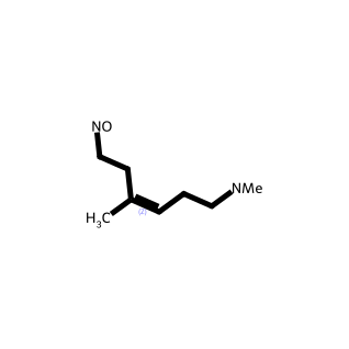 CNCC/C=C(/C)CCN=O